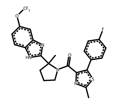 Cc1nc(C(=O)N2CCCC2(C)c2nc3cc(OC(F)(F)F)ccc3[nH]2)c(-c2ccc(F)cc2)s1